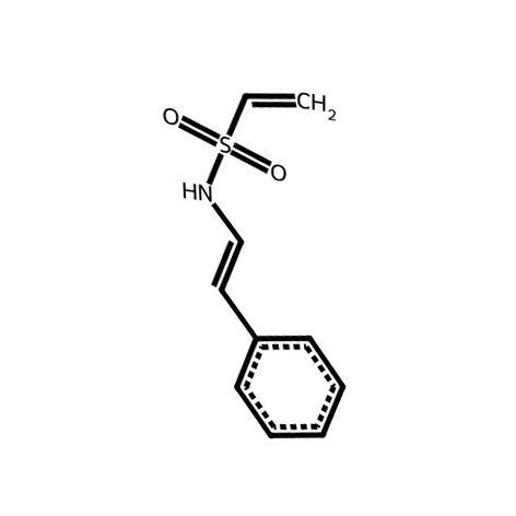 C=CS(=O)(=O)NC=Cc1ccccc1